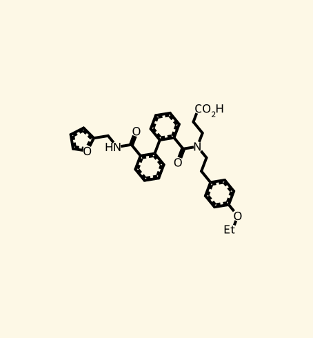 CCOc1ccc(CCN(CCC(=O)O)C(=O)c2ccccc2-c2ccccc2C(=O)NCc2ccco2)cc1